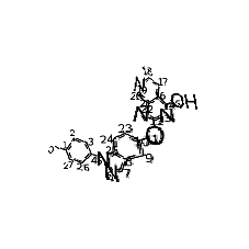 Cc1ccc(-n2ncc3cc(Oc4nc(O)c5ccncc5n4)ccc32)cc1